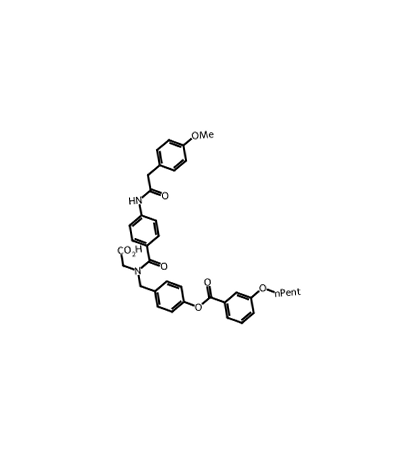 CCCCCOc1cccc(C(=O)Oc2ccc(CN(CC(=O)O)C(=O)c3ccc(NC(=O)Cc4ccc(OC)cc4)cc3)cc2)c1